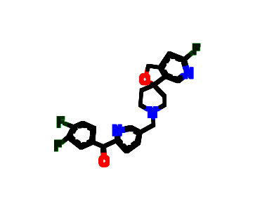 O=C(c1ccc(F)c(F)c1)c1ccc(CN2CCC3(CC2)OCc2cc(F)ncc23)cn1